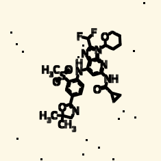 CC1(C)CN=C(c2ccc(Nc3cc(NC(=O)C4CC4)nc4c3nc(C(F)F)n4C3CCCCO3)c(S(C)(=O)=O)c2)O1